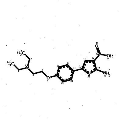 CCN(CC)CCOc1ccc(-c2cc(C(=O)O)c(N)s2)cc1